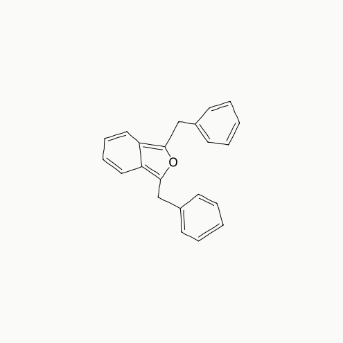 c1ccc(Cc2oc(Cc3ccccc3)c3ccccc23)cc1